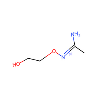 C/C(N)=N/OCCO